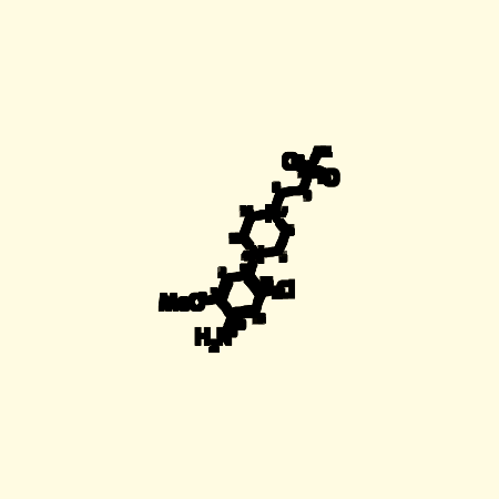 COc1cc(N2CCN(CCS(C)(=O)=O)CC2)c(Cl)cc1N